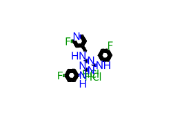 Cl.Cl.Fc1ccc(Nc2nc(NCc3ccnc(F)c3)nc(Nc3ccc(F)cc3)n2)cc1